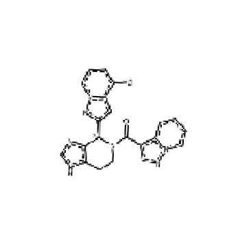 O=C(c1cnn2ccccc12)N1CCc2[nH]cnc2[C@H]1c1cc2c(Cl)cccn2n1